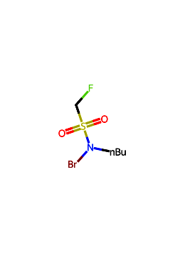 CCCCN(Br)S(=O)(=O)CF